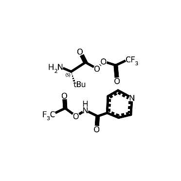 CC(C)(C)[C@H](N)C(=O)OOC(=O)C(F)(F)F.O=C(NOC(=O)C(F)(F)F)c1ccncc1